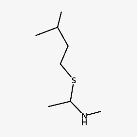 CNC(C)SCCC(C)C